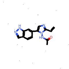 C=Cc1ncc(-c2ccc3cn[nH]c3c2)n1NC(C)=O